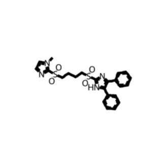 Cn1ccnc1S(=O)(=O)CCCCS(=O)(=O)c1nc(-c2ccccc2)c(-c2ccccc2)[nH]1